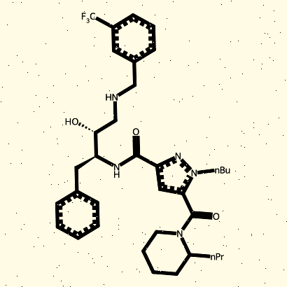 CCCCn1nc(C(=O)N[C@@H](Cc2ccccc2)[C@H](O)CNCc2cccc(C(F)(F)F)c2)cc1C(=O)N1CCCCC1CCC